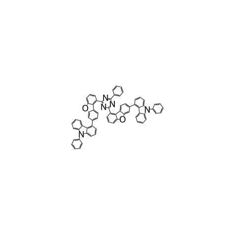 c1ccc(-c2nc(-c3cccc4oc5cc(-c6cccc7c6c6ccccc6n7-c6ccccc6)ccc5c34)nc(-c3cccc4oc5cc(-c6cccc7c6c6ccccc6n7-c6ccccc6)ccc5c34)n2)cc1